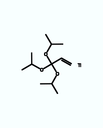 C=CC(OC(C)C)(OC(C)C)OC(C)C.[Ti]